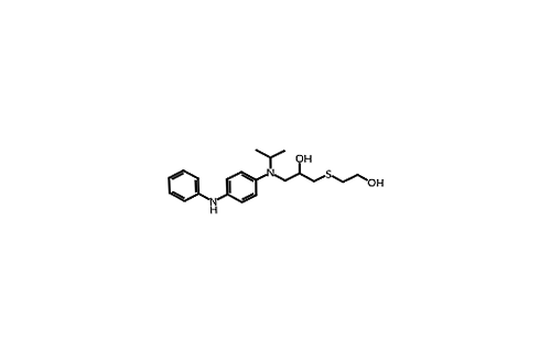 CC(C)N(CC(O)CSCCO)c1ccc(Nc2ccccc2)cc1